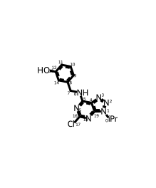 CC(C)n1nnc2c(NCc3cccc(O)c3)nc(Cl)nc21